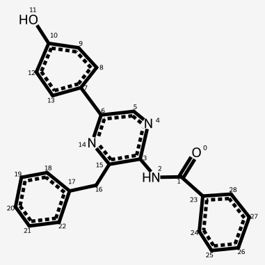 O=C(Nc1ncc(-c2ccc(O)cc2)nc1Cc1ccccc1)c1ccccc1